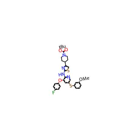 COc1cccc(Sc2cnc(Nc3nc(C4CCN(C(=O)OC(C)(C)C)CC4)cs3)c(Oc3ccc(F)cc3)c2)c1